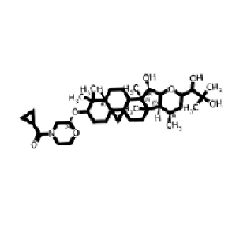 C[C@@H]1CC(C(O)C(C)(C)O)OC2[C@H]1C1(C)CCC34CC35CCC(O[C@H]3CN(C(=O)C6CC6)CCO3)C(C)(C)[C@@H]5CCC4[C@]1(C)[C@H]2O